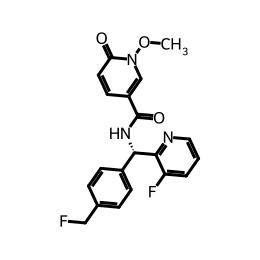 COn1cc(C(=O)N[C@@H](c2ccc(CF)cc2)c2ncccc2F)ccc1=O